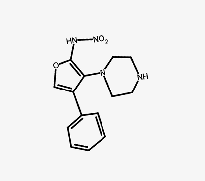 O=[N+]([O-])Nc1occ(-c2ccccc2)c1N1CCNCC1